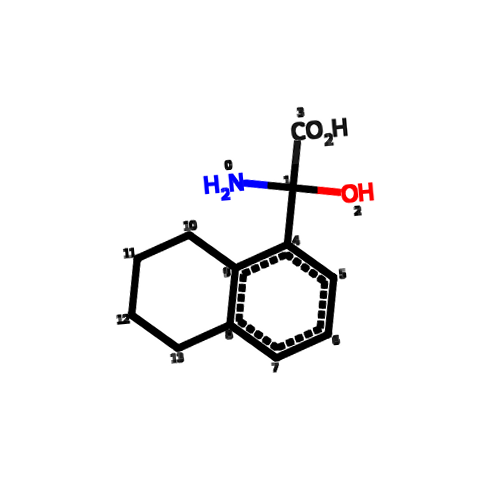 NC(O)(C(=O)O)c1cccc2c1CCCC2